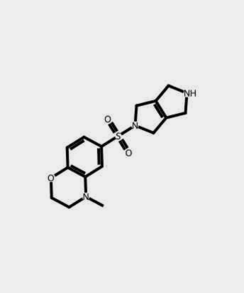 CN1CCOc2ccc(S(=O)(=O)N3CC4=C(CNC4)C3)cc21